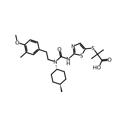 COc1ccc(CCN(C(=O)Nc2ncc(SC(C)(C)C(=O)O)s2)[C@H]2CC[C@H](C)CC2)cc1C